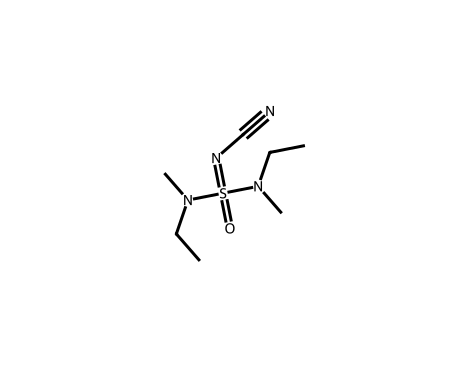 CCN(C)S(=O)(=NC#N)N(C)CC